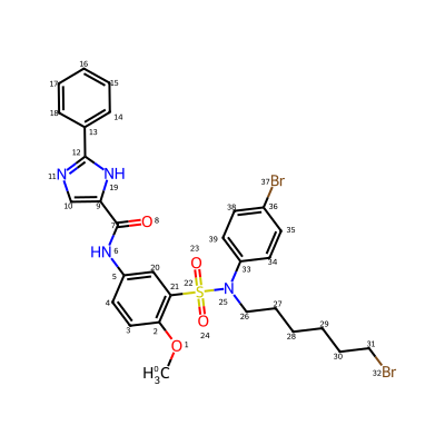 COc1ccc(NC(=O)c2cnc(-c3ccccc3)[nH]2)cc1S(=O)(=O)N(CCCCCCBr)c1ccc(Br)cc1